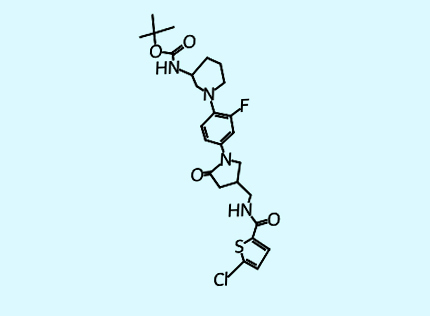 CC(C)(C)OC(=O)NC1CCCN(c2ccc(N3CC(CNC(=O)c4ccc(Cl)s4)CC3=O)cc2F)C1